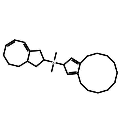 C[Si](C)(C1C=C2CCCCCCCCCCC2=C1)C1CC2=CC=CCCCC2C1